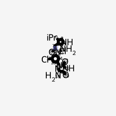 CC(C)c1c[nH]c(N)c1/C=C1/Oc2c(Cl)cc(-n3nc(N)c(=O)[nH]c3=O)cc2N1Cl